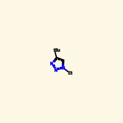 CCn1cc(C(C)(C)C)nn1